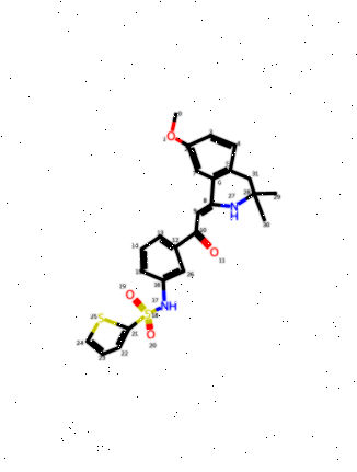 COc1ccc2c(c1)C(=CC(=O)c1cccc(NS(=O)(=O)c3cccs3)c1)NC(C)(C)C2